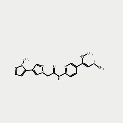 CN/C=C(\NC)c1ccc(NC(=O)Cn2cc(-c3ccnn3C)cn2)nc1